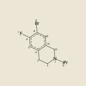 CC(C)N1CCc2cc(F)c(Br)cc2C1